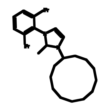 CC(C)c1cccc(C(C)C)c1N1C=CN(C2CCCCCCCCCCC2)C1C